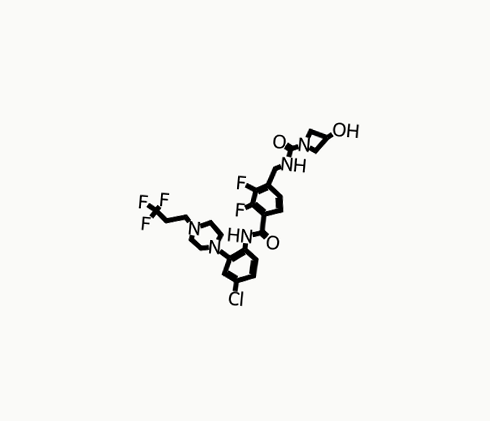 O=C(Nc1ccc(Cl)cc1N1CCN(CCC(F)(F)F)CC1)c1ccc(CNC(=O)N2CC(O)C2)c(F)c1F